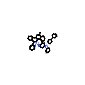 Cc1cc2c3ccccc3c3c4ccccc4n(-c4ccc(N(c5ccccc5)c5ccc(-c6ccccc6)cc5)cc4)c3c2c2ccccc12